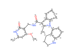 COc1cc(C)[nH]c(=O)c1CNC(=O)c1c(C)n(-c2cccc3c2CCCN3)c2ccccc12